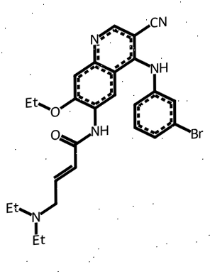 CCOc1cc2ncc(C#N)c(Nc3cccc(Br)c3)c2cc1NC(=O)C=CCN(CC)CC